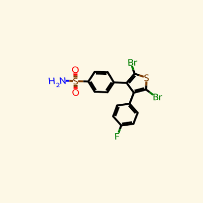 NS(=O)(=O)c1ccc(-c2c(Br)sc(Br)c2-c2ccc(F)cc2)cc1